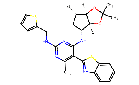 CC[C@H]1C[C@@H](Nc2nc(NCc3cccs3)nc(C)c2-c2nc3ccccc3s2)[C@@H]2OC(C)(C)O[C@H]12